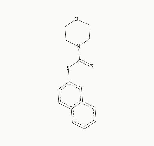 S=C(Sc1ccc2ccccc2c1)N1CCOCC1